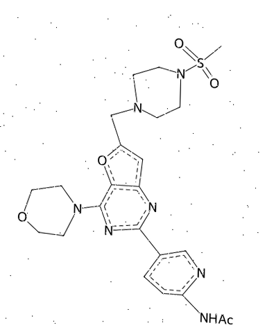 CC(=O)Nc1ccc(-c2nc(N3CCOCC3)c3oc(CN4CCN(S(C)(=O)=O)CC4)cc3n2)cn1